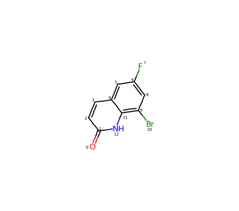 O=c1ccc2cc(F)cc(Br)c2[nH]1